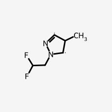 CC1[C]=NN(CC(F)F)[CH]1